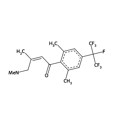 CNC/C(C)=C\C(=O)c1c(C)cc(C(F)(C(F)(F)F)C(F)(F)F)cc1C